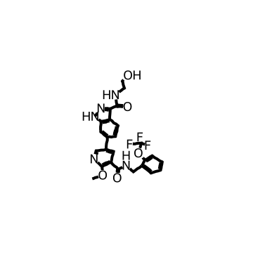 COc1ncc(-c2ccc3c(C(=O)NCCO)n[nH]c3c2)cc1C(=O)NCc1ccccc1OC(F)(F)F